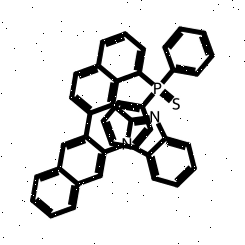 S=P(c1ccccc1)(c1ccccc1)c1cccc2ccc3c4cc5ccccc5cc4n4c5ccccc5nc4c3c12